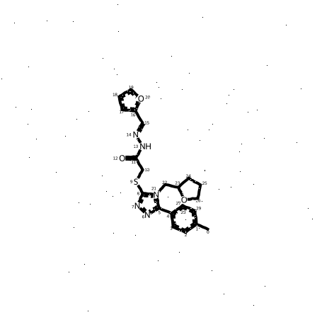 Cc1ccc(-c2nnc(SCC(=O)NN=Cc3ccco3)n2CC2CCCO2)cc1